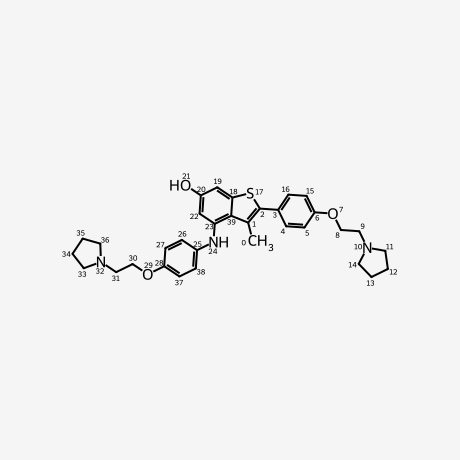 Cc1c(-c2ccc(OCCN3CCCC3)cc2)sc2cc(O)cc(Nc3ccc(OCCN4CCCC4)cc3)c12